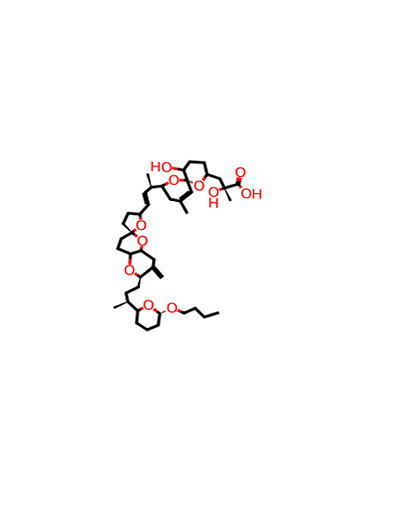 C=C1CC2O[C@]3(CCC(/C=C/[C@@H](C)C4CC(C)=C[C@@]5(OC(C[C@@](C)(O)C(=O)O)CCC5O)O4)O3)CCC2O[C@@H]1CC[C@H](C)C1CCC[C@@H](OCCCC)O1